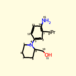 CC(C)c1cc(N2CCCCC2CO)ccc1N